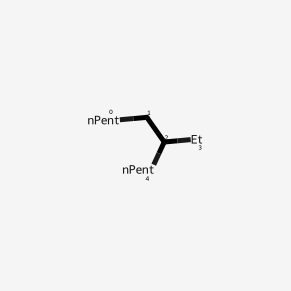 [CH2]CCCCCC(CC)CCCC[CH2]